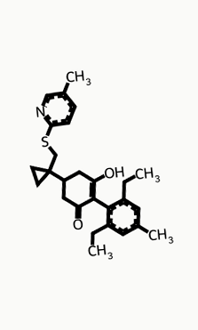 CCc1cc(C)cc(CC)c1C1=C(O)CC(C2(CSc3ccc(C)cn3)CC2)CC1=O